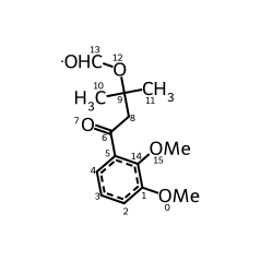 COc1cccc(C(=O)CC(C)(C)O[C]=O)c1OC